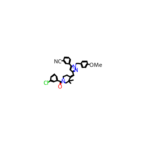 COc1ccc(Cn2nc(/C=C3\CCN(C(=O)c4cccc(Cl)c4)CC3(C)C)cc2-c2cccc(C#N)c2)cc1